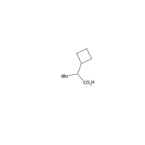 CC(C)(C)C(C(=O)O)C1CCC1